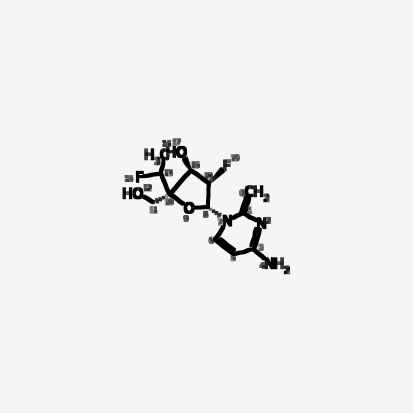 C=C1N=C(N)C=CN1[C@@H]1O[C@@](CO)(C(C)F)[C@@H](O)[C@H]1F